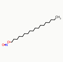 CCCCCCCCCCCCCCCCCCON=O